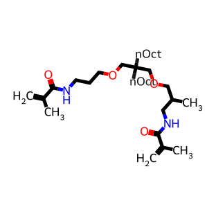 C=C(C)C(=O)NCCCOCC(CCCCCCCC)(CCCCCCCC)COCC(C)CNC(=O)C(=C)C